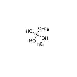 Cl.O[Si](O)(O)O.[Fe]